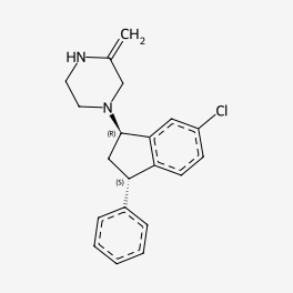 C=C1CN([C@@H]2C[C@@H](c3ccccc3)c3ccc(Cl)cc32)CCN1